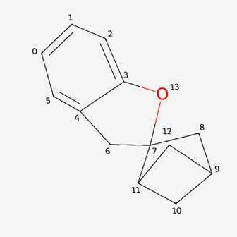 c1ccc2c(c1)CC1(CC3CC1C3)O2